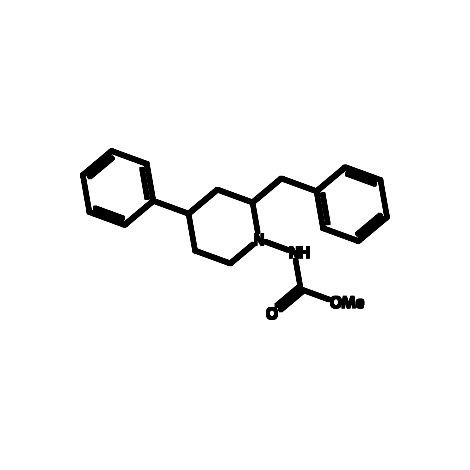 COC(=O)NN1CCC(c2ccccc2)CC1Cc1ccccc1